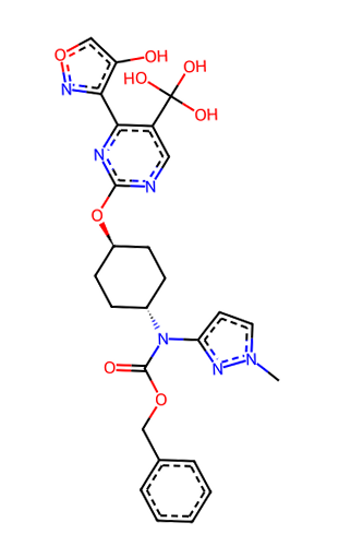 Cn1ccc(N(C(=O)OCc2ccccc2)[C@H]2CC[C@H](Oc3ncc(C(O)(O)O)c(-c4nocc4O)n3)CC2)n1